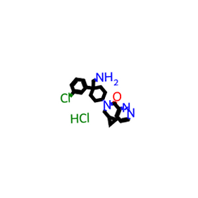 Cl.NCC1(c2cccc(Cl)c2)CCC(N(CC2CC2)C(=O)c2cccnn2)CC1